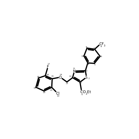 CCOC(=O)c1sc(-c2ccc(C(F)(F)F)cc2)nc1COc1c(F)cccc1Cl